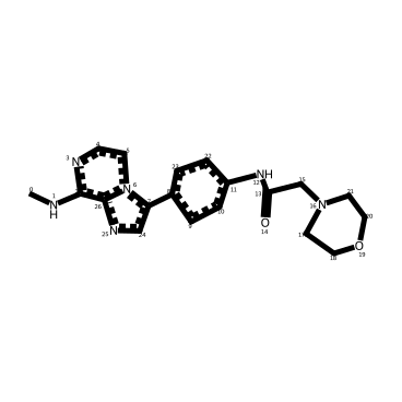 CNc1nccn2c(-c3ccc(NC(=O)CN4CCOCC4)cc3)cnc12